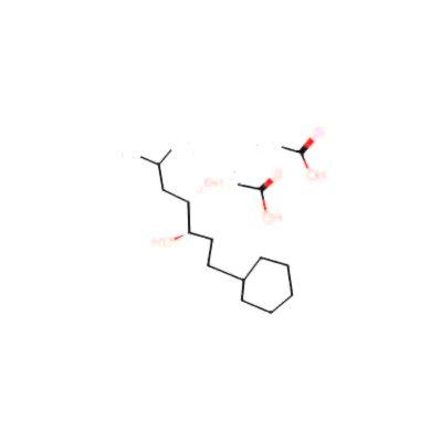 CC(=O)O.CC(=O)O.CC(C)C[C@H](O)[C@H](O)CCC1CCCCC1